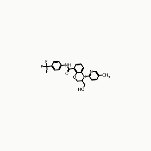 Cc1ccc(N2c3cccc(C(=O)Nc4ccc(C(F)(F)F)cc4)c3OCC2CO)nc1